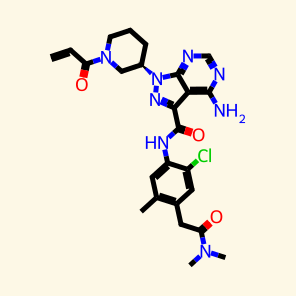 C=CC(=O)N1CCC[C@@H](n2nc(C(=O)Nc3cc(C)c(CC(=O)N(C)C)cc3Cl)c3c(N)ncnc32)C1